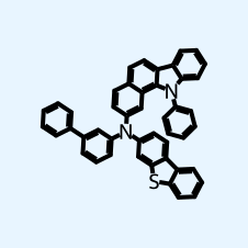 c1ccc(-c2cccc(N(c3ccc4c(c3)sc3ccccc34)c3ccc4ccc5c6ccccc6n(-c6ccccc6)c5c4c3)c2)cc1